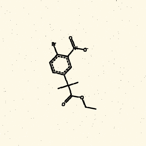 CCOC(=O)C(C)(C)c1ccc(Br)c([N+](=O)[O-])c1